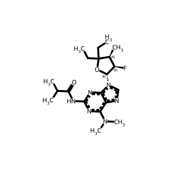 CCC1(CC)O[C@@H](n2cnc3c(N(C)C)nc(NC(=O)C(C)C)nc32)[C@H](F)[C@@H]1C